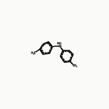 Cc1cc[c]([Al][c]2ccc(C)cc2)cc1.Cl